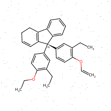 C=COc1ccc([C@@]2(c3ccc(OCC)c(CC)c3)C3=C(CCC=C3)c3ccccc32)cc1CC